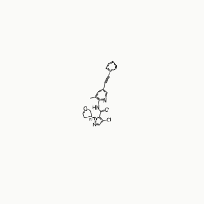 Cc1cc(C#Cc2ccccc2)cnc1NC(=O)c1c(Cl)cnn1[C@H]1CCOC1